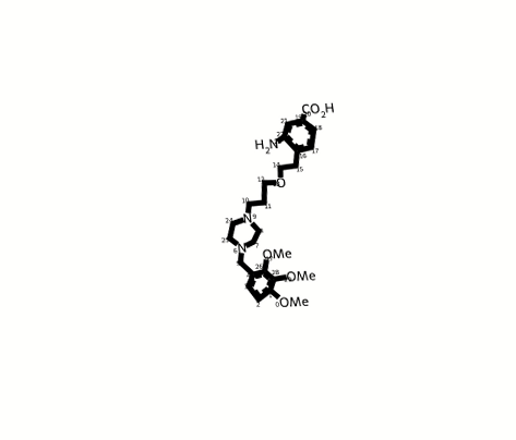 COc1ccc(CN2CCN(CCCOCCc3ccc(C(=O)O)cc3N)CC2)c(OC)c1OC